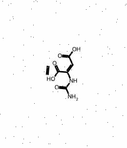 C=C.NC(=O)N/C(=C/C(=O)O)C(=O)O